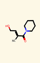 N#CC(=CCO)C(=O)N1CCCCC1